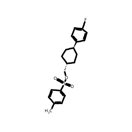 Cc1ccc(S(=O)(=O)OC[C@H]2CC[C@H](c3ccc(F)cc3)CC2)cc1